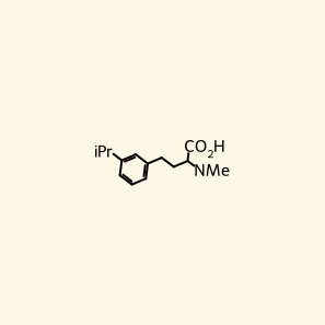 CNC(CCc1cccc(C(C)C)c1)C(=O)O